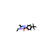 C=C(NCC)NC(=O)c1ccc(C(C)(C)C)cc1